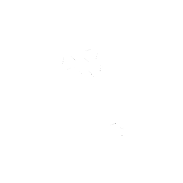 COc1ccc(N(C)c2nc(OCCCCCCC(=O)NO)nc3ccccc23)cc1